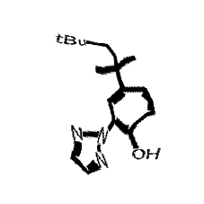 CC(C)(C)CC(C)(C)c1ccc(O)c(-n2nccn2)c1